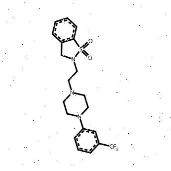 O=S1(=O)c2ccccc2CN1CCN1CCN(c2cccc(C(F)(F)F)c2)CC1